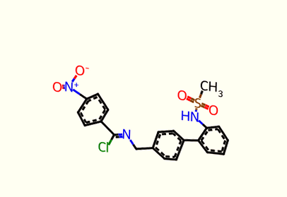 CS(=O)(=O)Nc1ccccc1-c1ccc(C/N=C(\Cl)c2ccc([N+](=O)[O-])cc2)cc1